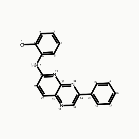 Clc1ccccc1Nc1ccc2ncc(-c3ccccc3)nc2n1